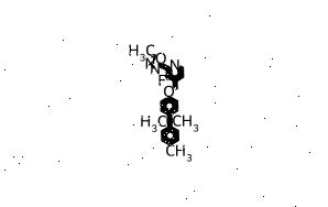 Cc1ccc(C(C)(C)c2ccc(OCc3ccnc(-c4nnc(C)o4)c3F)cc2)cc1